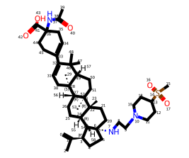 C=C(C)[C@@H]1CC[C@]2(NCCN3CCC(S(C)(=O)=O)CC3)CC[C@]3(C)[C@H](CC[C@@H]4[C@@]5(C)CC=C(C6=CCC(NC(C)=O)(C(=O)O)CC6)C(C)(C)[C@@H]5CC[C@]43C)[C@@H]12